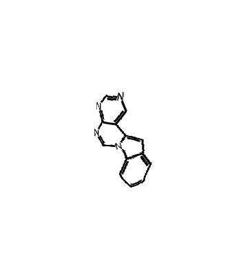 c1ccc2c(c1)cc1c3cncnc3ncn21